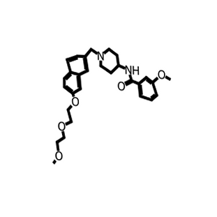 COCCOCCOc1ccc2ccc(CN3CCC(NC(=O)c4cccc(OC)c4)CC3)cc2c1